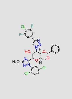 Cc1nc([C@@H]2O[C@@H]3CO[C@H](c4ccccc4)O[C@@H]3[C@H](n3cc(-c4cc(F)c(Cl)c(F)c4)nn3)[C@H]2O)n(-c2cc(Cl)ccc2Cl)n1